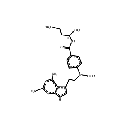 CCOC(=O)N(CCc1c[nH]c2nc(N)nc(N)c12)c1ccc(C(=O)N[C@@H](CCC(=O)O)C(=O)O)cc1